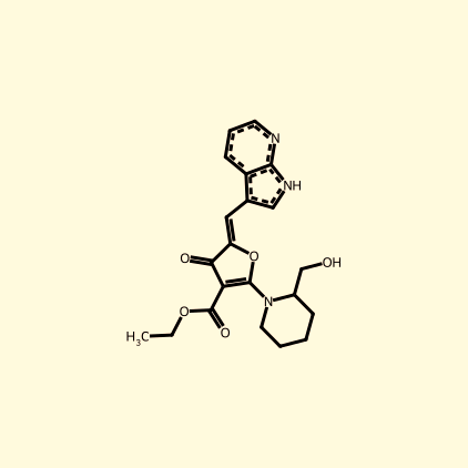 CCOC(=O)C1=C(N2CCCCC2CO)OC(=Cc2c[nH]c3ncccc23)C1=O